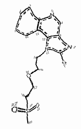 CCc1nc2cnc3ccccc3c2n1CCOCCS(C)(=O)=O